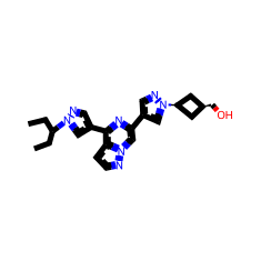 CCC(CC)n1cc(-c2nc(-c3cnn([C@H]4C[C@@H](CO)C4)c3)cn3nccc23)cn1